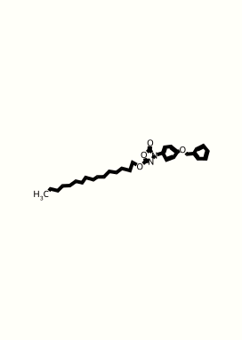 CCCCCCCCCCCCCCCCOc1nn(-c2ccc(OCc3ccccc3)cc2)c(=O)o1